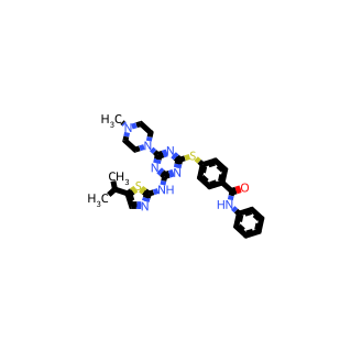 CC(C)c1cnc(Nc2nc(Sc3ccc(C(=O)Nc4ccccc4)cc3)nc(N3CCN(C)CC3)n2)s1